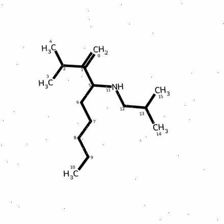 C=C(C(C)C)C(CCCCC)NCC(C)C